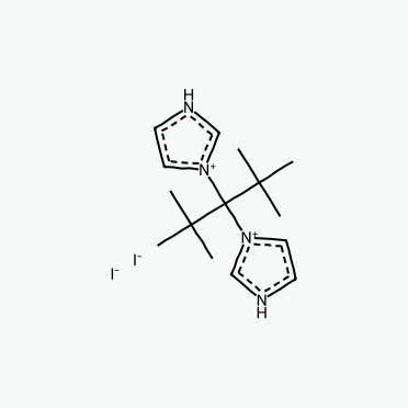 CC(C)(C)C([n+]1cc[nH]c1)([n+]1cc[nH]c1)C(C)(C)C.[I-].[I-]